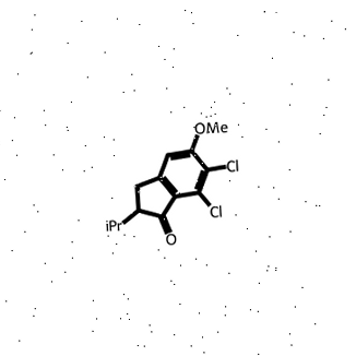 COc1cc2c(c(Cl)c1Cl)C(=O)C(C(C)C)C2